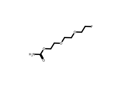 NC(=O)OCCOCCOCCF